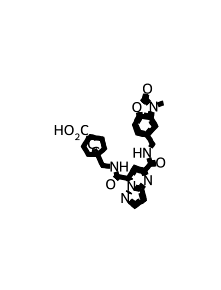 Cn1c(=O)oc2ccc(CNC(=O)c3cc(C(=O)NCC45CCC(C(=O)O)(CC4)CC5)n4nccc4n3)cc21